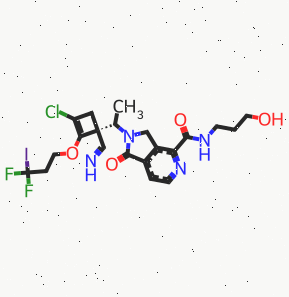 CC(N1Cc2c(ccnc2C(=O)NCCCO)C1=O)[C@@]1(C=N)CC(Cl)=C1OCCC(F)(F)I